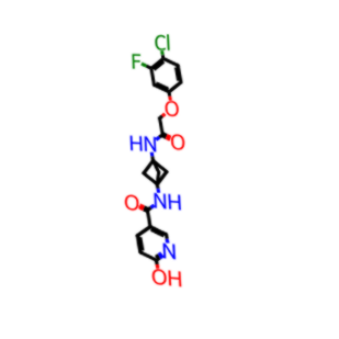 O=C(COc1ccc(Cl)c(F)c1)NC12CC(NC(=O)c3ccc(O)nc3)(C1)C2